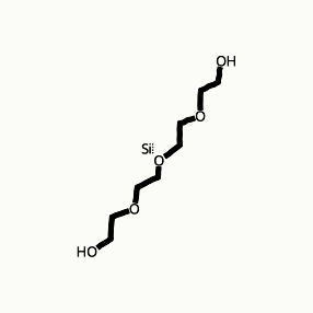 OCCOCCOCCOCCO.[Si]